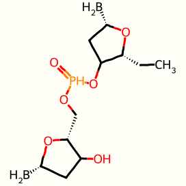 B[C@H]1CC(O)[C@@H](CO[PH](=O)OC2C[C@H](B)O[C@@H]2CC)O1